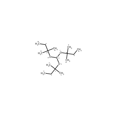 CCC(C)(C)OB(OC(C)(C)CC)OC(C)(C)CC